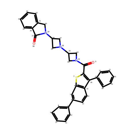 O=C(c1sc2cc(-c3ccccc3)ccc2c1-c1ccccc1)N1CC(N2CC(N3Cc4ccccc4C3=O)C2)C1